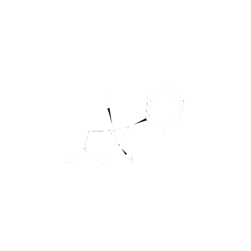 O=C1C[C@@H]2[C@H](C1)[C@H]2c1ccccc1